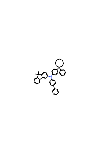 CC1(C)c2ccccc2-c2cc(N(c3ccc(-c4ccccc4)cc3)c3ccc(C4(c5ccccc5)CCCCCCC4)cc3)ccc21